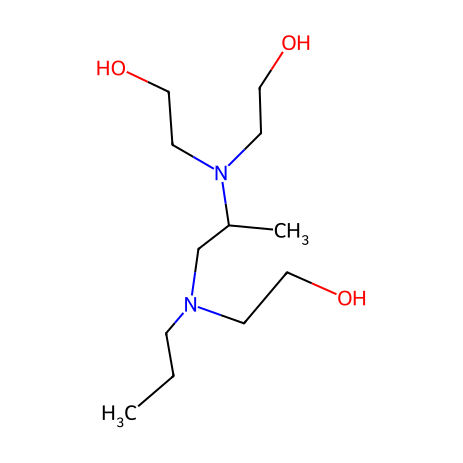 CCCN(CCO)CC(C)N(CCO)CCO